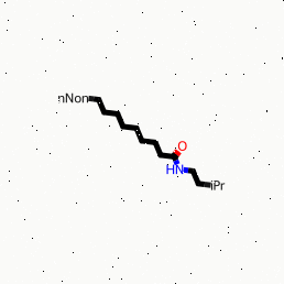 CCCCCCCCCCCCCCCCCC(=O)NCCC(C)C